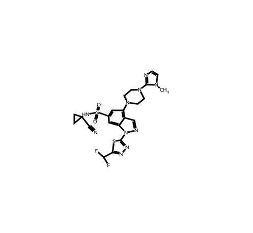 Cn1ccnc1N1CCN(c2cc(S(=O)(=O)NC3(C#N)CC3)cc3c2cnn3-c2nnc(C(F)F)s2)CC1